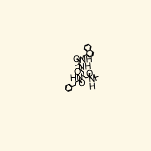 C[C@H](NC(=O)C[C@@H](CC(=O)NC(C)(C)C)NC(=O)CCc1ccccc1)C(=O)NCc1cc#cc2ccccc12